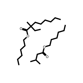 CCCCCCOC(=O)C(C)(CC)CCCCCC.CCCCCCOC(=O)CC(C)C